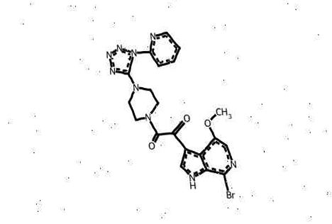 COc1cnc(Br)c2[nH]cc(C(=O)C(=O)N3CCN(c4nnnn4-c4ccccn4)CC3)c12